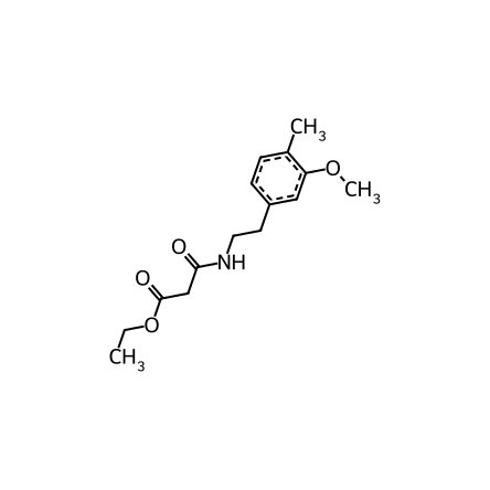 CCOC(=O)CC(=O)NCCc1ccc(C)c(OC)c1